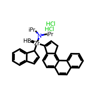 Cl.Cl.[BH]=[Zr]([C]1=CCc2c1ccc1ccc3ccccc3c21)([CH]1C=Cc2ccccc21)[N](C(C)C)C(C)C